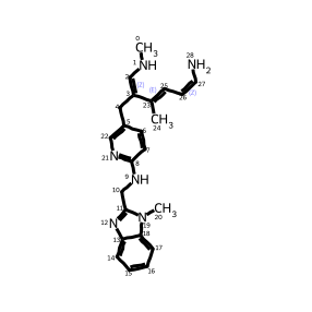 CN\C=C(Cc1ccc(NCc2nc3ccccc3n2C)nc1)/C(C)=C/C=C\N